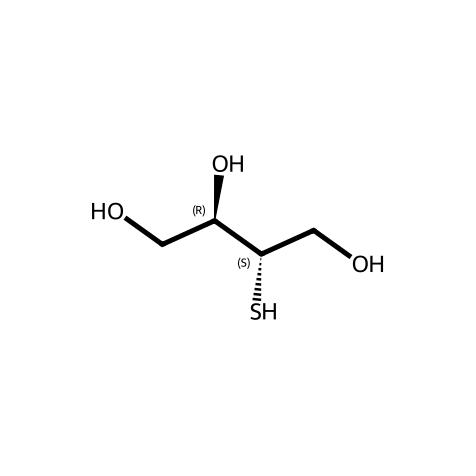 OC[C@@H](O)[C@@H](S)CO